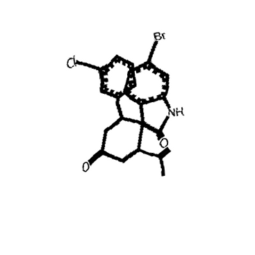 C=C(C)C1CC(=O)CC(c2cccc(Cl)c2)C12C(=O)Nc1cc(Br)ccc12